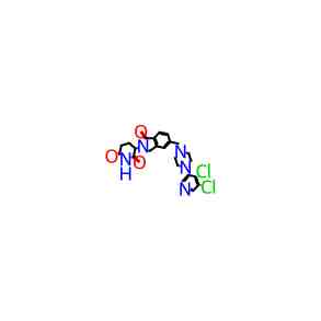 O=C1CCC(N2Cc3cc(CN4CCN(c5cncc(Cl)c5Cl)CC4)ccc3C2=O)C(=O)N1